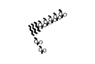 CCCCCC.CCCCCC.CCCCCC.CCOC(C)=O.CCOC(C)=O.CCOC(C)=O.CCOC(C)=O.CCOC(C)=O.CCOC(C)=O.CCOC(C)=O